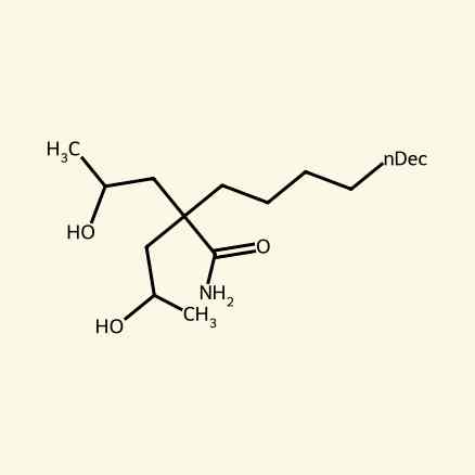 CCCCCCCCCCCCCCC(CC(C)O)(CC(C)O)C(N)=O